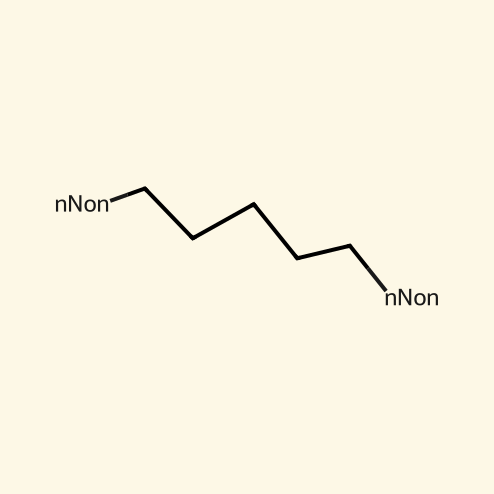 CCC[CH]CCCCCCCCCCCCCCCCCCC